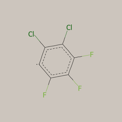 Fc1[c]c(Cl)c(Cl)c(F)c1F